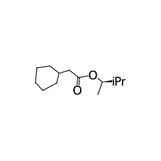 CC(C)[C@@H](C)OC(=O)CC1CCCCC1